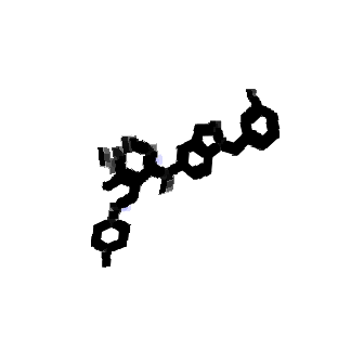 CC/N=C(/Nc1ccc2c(cnn2Cc2cccc(F)c2)c1)C(/C=N/N1CCN(C)CC1)=C(C)N